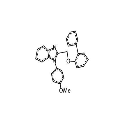 COc1ccc(-n2c(COc3ccccc3-c3ccccc3)nc3ccccc32)cc1